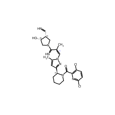 C/C(=C/n1nc([C@@H]2CCCCN2C(=O)c2nc(Cl)ccc2Cl)cc1C)C(=N)N1C[C@@H](C=N)[C@@H](O)C1